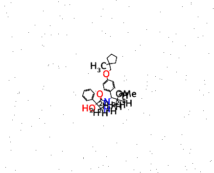 [2H]C([2H])([2H])C(OC)([C@H](NC(=O)[C@](O)(c1ccccc1)C([2H])([2H])[2H])c1ccc(OCC2(C)CCCC2)cc1)C([2H])([2H])[2H]